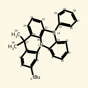 CC(C)(C)c1ccc2c(c1)N1c3ccccc3B(c3ccccc3)c3cccc(c31)C2(C)C